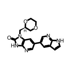 O=c1[nH]c2ncc(-c3cnc4[nH]ccc4c3)cc2n1C[C@@H]1COCCO1